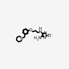 Nc1n[s+]([O-])nc1NCCCOc1cccc(CN2CCCCC2)c1